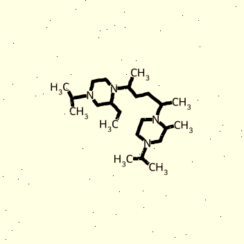 CCC1CN(C(C)C)CCN1C(C)CCC(C)N1CCN(C(C)C)CC1C